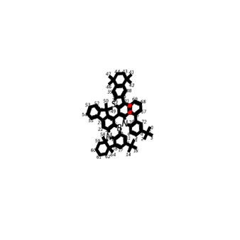 CC(C)(C)c1ccc(N2B3c4cc(C(C)(C)C)cc5c4N(c4cc6c(c(c43)-c3c2ccc2c3sc3cc4c(cc32)C(C)(C)CCC4(C)C)C(C)(C)c2ccccc2-6)C2(C)CCCCC52C)c(-c2ccccc2)c1